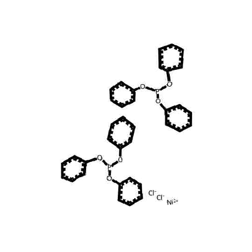 [Cl-].[Cl-].[Ni+2].c1ccc(OP(Oc2ccccc2)Oc2ccccc2)cc1.c1ccc(OP(Oc2ccccc2)Oc2ccccc2)cc1